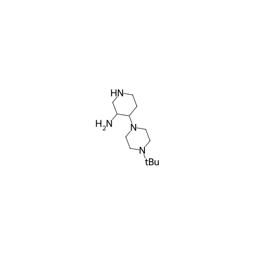 CC(C)(C)N1CCN(C2CCNCC2N)CC1